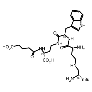 CCCC[C@H](N)CNCC[C@H](N)C(=O)N[C@H](Cc1c[nH]c2ccccc12)C(=O)NCC[C@@H](NC(=O)CCCC(=O)O)C(=O)O